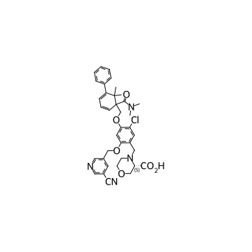 CN(C)C(=O)C1(COc2cc(OCc3cncc(C#N)c3)c(CN3CCOC[C@H]3C(=O)O)cc2Cl)C=CC=C(c2ccccc2)C1(C)C